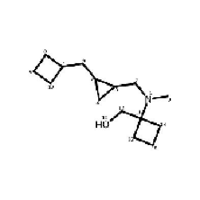 CN(CC1CC1CC1CCC1)C1(CO)CCC1